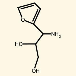 NC(c1ccco1)C(O)CO